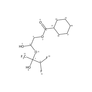 O=C(OCC(O)OC(O)(C(F)F)C(F)(F)F)C1CCCCC1